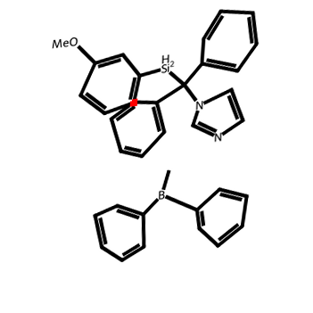 CB(c1ccccc1)c1ccccc1.COc1cccc([SiH2]C(c2ccccc2)(c2ccccc2)n2ccnc2)c1